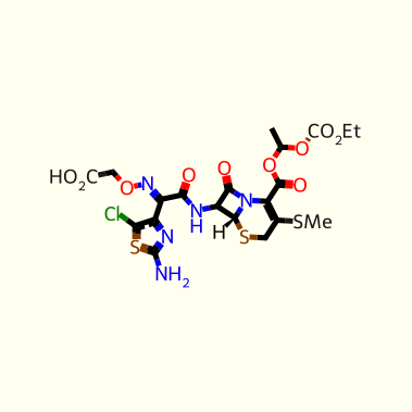 CCOC(=O)OC(C)OC(=O)C1=C(SC)CS[C@@H]2C(NC(=O)/C(=N/OCC(=O)O)c3nc(N)sc3Cl)C(=O)N12